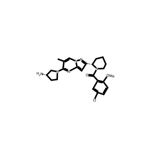 COc1ccc(Cl)cc1C(=O)N1CCCC[C@H]1c1cc2nc(N3CC[C@H](N)C3)c(C)cn2n1